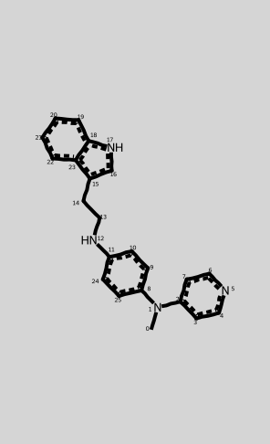 CN(c1ccncc1)c1ccc(NCCc2c[nH]c3ccccc23)cc1